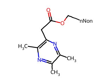 CCCCCCCCCCOC(=O)Cc1nc(C)c(C)nc1C